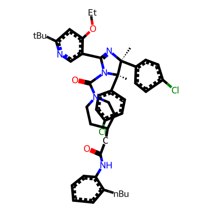 CCCCc1ccccc1NC(=O)CC1CCN(C(=O)N2C(c3cnc(C(C)(C)C)cc3OCC)=N[C@@](C)(c3ccc(Cl)cc3)[C@@]2(C)c2ccc(Cl)cc2)CC1